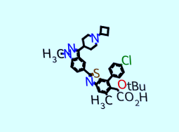 Cc1cc2nc(-c3ccc4c(c3)c(C3CCN(C5CCC5)CC3)nn4C)sc2c(-c2ccc(Cl)cc2)c1C(OC(C)(C)C)C(=O)O